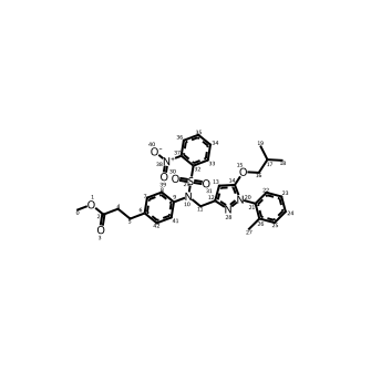 COC(=O)CCc1ccc(N(Cc2cc(OCC(C)C)n(-c3ccccc3C)n2)S(=O)(=O)c2ccccc2[N+](=O)[O-])cc1